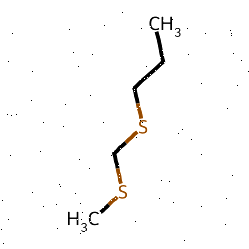 CCCSCSC